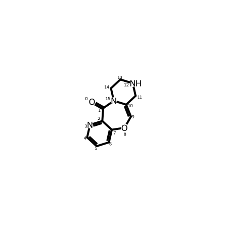 O=C1c2ncccc2OC=C2CNCCN12